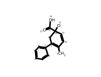 CC1=C(c2ccccc2)CC(Cl)(C(=O)O)C=C1